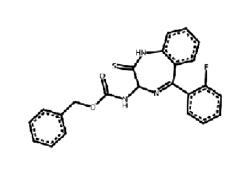 O=C(NC1N=C(c2ccccc2F)c2ccccc2NC1=S)OCc1ccccc1